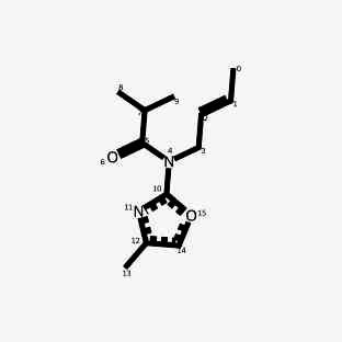 CC=CCN(C(=O)C(C)C)c1nc(C)co1